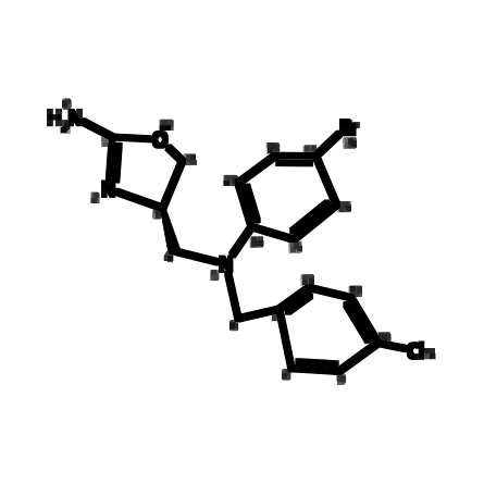 NC1=N[C@H](CN(Cc2ccc(Cl)cc2)c2ccc(Br)cc2)CO1